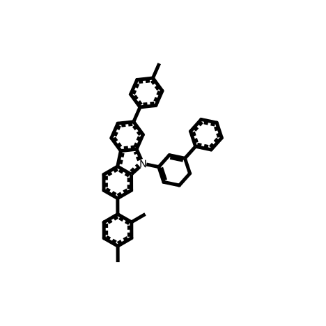 Cc1ccc(-c2ccc3c4ccc(-c5ccc(C)cc5C)cc4n(C4=CCCC(c5ccccc5)=C4)c3c2)cc1